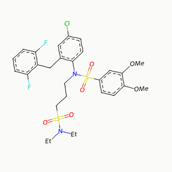 CCN(CC)S(=O)(=O)CCCN(c1ccc(Cl)cc1Cc1c(F)cccc1F)S(=O)(=O)c1ccc(OC)c(OC)c1